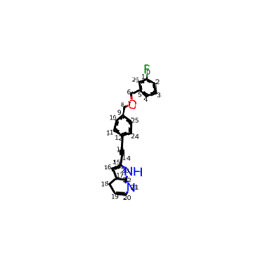 Fc1cccc(COCc2ccc(C#CC3=CC4CC=CN=C4N3)cc2)c1